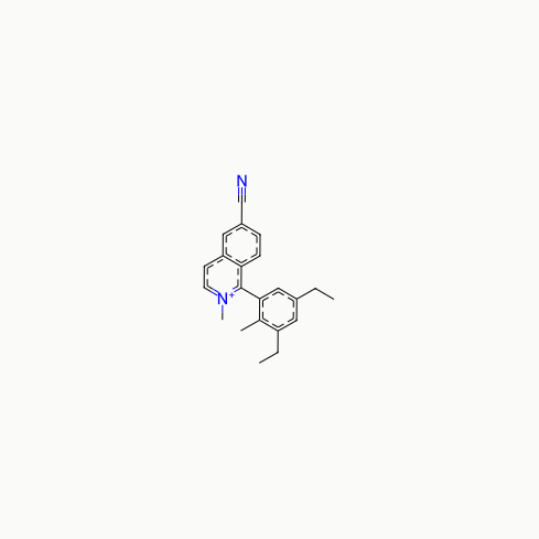 CCc1cc(CC)c(C)c(-c2c3ccc(C#N)cc3cc[n+]2C)c1